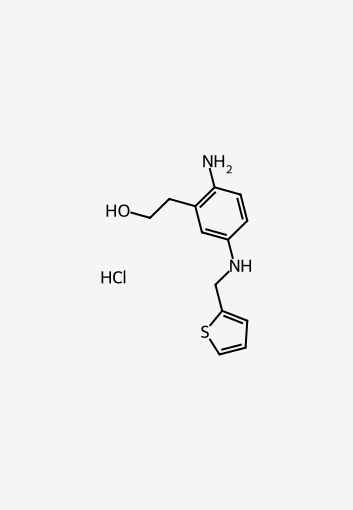 Cl.Nc1ccc(NCc2cccs2)cc1CCO